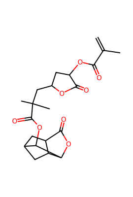 C=C(C)C(=O)OC1CC(CC(C)(C)C(=O)OC2C3CC4C(=O)OC2C4C3)OC1=O